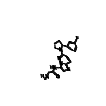 NCC(=O)Nc1cnc2ccc(N3CCCC3c3cccc(F)c3)nn12